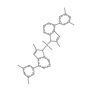 CC1=Cc2c(-c3cc(C)cc(C)c3)cccc2C1S(C)(C)C1C(C)=Cc2c(-c3cc(C)cc(C)c3)cccc21